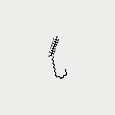 CC/C=C\C/C=C\C/C=C\CCCCCCCCOC(=O)C(F)(F)C(F)(F)C(F)(F)C(F)(F)C(F)(F)C(F)(F)C(F)(F)F